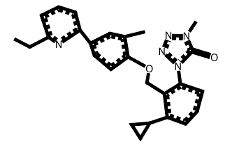 CCc1cccc(-c2ccc(OCc3c(C4CC4)cccc3-n3nnn(C)c3=O)c(C)c2)n1